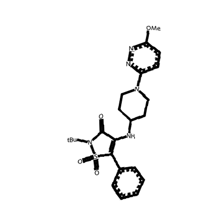 COc1ccc(N2CCC(NC3=C(c4ccccc4)S(=O)(=O)N(C(C)(C)C)C3=O)CC2)nn1